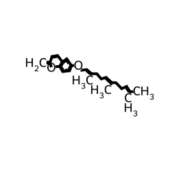 C=C1C=Cc2cc(OC/C=C(\C)CC/C=C(\C)CCC=C(C)C)ccc2O1